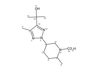 Cc1nn(C2CCC(C)N(C(=O)O)C2)nc1C(C)(C)O